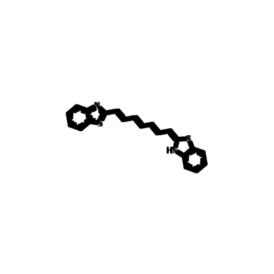 C(=CC=Cc1nc2ccccc2s1)C=CC=C1Nc2ccccc2S1